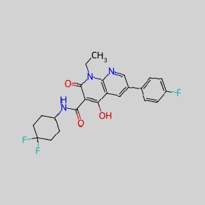 CCn1c(=O)c(C(=O)NC2CCC(F)(F)CC2)c(O)c2cc(-c3ccc(F)cc3)cnc21